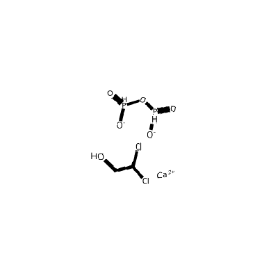 O=[PH]([O-])O[PH](=O)[O-].OCC(Cl)Cl.[Ca+2]